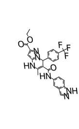 CCOC(=O)c1cc2n(n1)C(c1ccc(C(F)(F)F)cc1)C(C(=O)Nc1ccc3[nH]ncc3c1)=C(C)N2